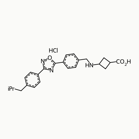 CC(C)Cc1ccc(-c2noc(-c3ccc(CNC4CC(C(=O)O)C4)cc3)n2)cc1.Cl